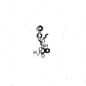 CCCCOC(CNC(=O)C1C2C=CC(C2)C1C(N)=O)CN1CCN(c2ccccn2)CC1